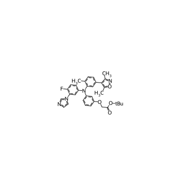 Cc1ccc(-c2c(C)noc2C)cc1N(c1cccc(OCC(=O)OC(C)(C)C)c1)c1ccc(F)c(-n2ccnc2)c1